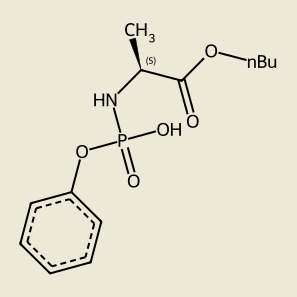 CCCCOC(=O)[C@H](C)NP(=O)(O)Oc1ccccc1